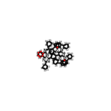 c1ccc(-c2nc(-c3ccccc3)nc(-c3ccc(-c4c(-n5c6ccccc6c6ccccc65)c(-n5c6ccccc6c6ccccc65)nc(-n5c6ccccc6c6ccccc65)c4-n4c5ccccc5c5ccccc54)cc3-c3nc(-c4ccccc4)nc(-c4ccccc4)n3)n2)cc1